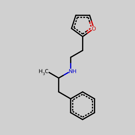 CC(Cc1ccccc1)NCCc1ccco1